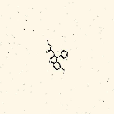 CCOC(=O)Cc1cnc2ccc(OC)cc2c1-c1ccccc1